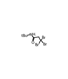 CC(C)(C)NC(=O)[CH]C(Br)(Br)Br